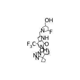 Cn1cnnc1C1(c2cccc(-n3cc(C(F)(F)F)c4cc(CN5CC(F)CC(CO)C5)[nH]c4c3=O)c2)CCC1